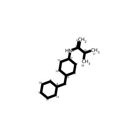 C=C(NC1CCC(CC2CCCCC2)CC1)C(C)C